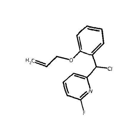 C=CCOc1ccccc1C(Cl)c1cccc(F)n1